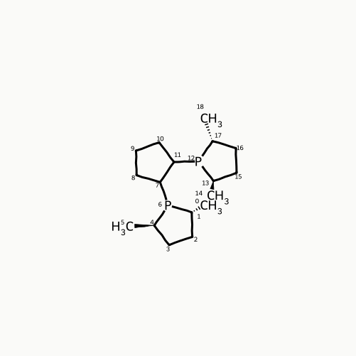 C[C@@H]1CC[C@@H](C)P1C1CCCC1P1[C@H](C)CC[C@H]1C